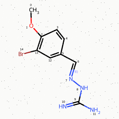 COc1ccc(/C=N/NC(=N)N)cc1Br